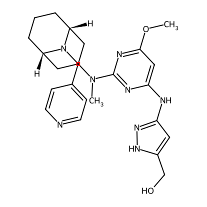 COc1cc(Nc2cc(CO)[nH]n2)nc(N(C)C2C[C@H]3CCC[C@@H](C2)N3Cc2ccncc2)n1